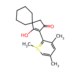 CC1=CS(C)=C(C2=C(O)C3(CCCCC3)CC2=O)C(C)=C1